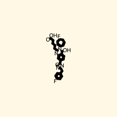 O=C(O)CCCCC1=Nc2cc(-c3nc(Cc4ccc(F)cc4)no3)ccc2C(O)N1C1=CCC(F)CC=C1